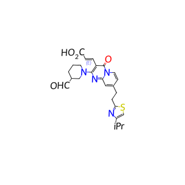 CC(C)c1csc(CCc2ccn3c(=O)c(/C=C/C(=O)O)c(N4CCCC(C=O)C4)nc3c2)n1